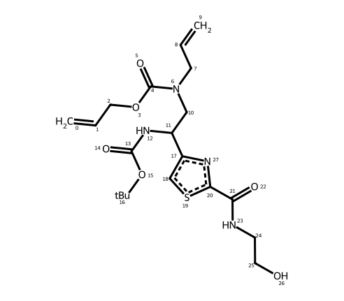 C=CCOC(=O)N(CC=C)CC(NC(=O)OC(C)(C)C)c1csc(C(=O)NCCO)n1